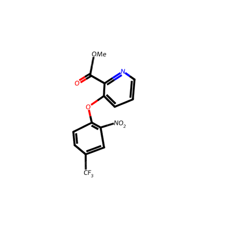 COC(=O)c1ncccc1Oc1ccc(C(F)(F)F)cc1[N+](=O)[O-]